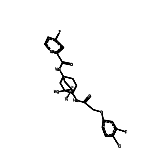 O=C(COc1ccc(Cl)c(F)c1)NC12CCC(NC(=O)c3cc(F)ccn3)(CC1)C[C@@H]2O